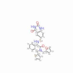 O=C([C@@H](NSc1ccc2[nH]c(=O)[nH]c(=O)c2c1)c1ccccc1)N(Cc1ccco1)Cc1cccs1